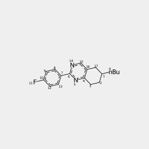 CCCCC1CCc2nc(-c3ccc(F)cc3)ncc2C1